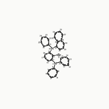 Brc1c(N(c2ccccc2)c2ccccc2)cccc1N(c1ccccc1)c1cccc2ccccc12